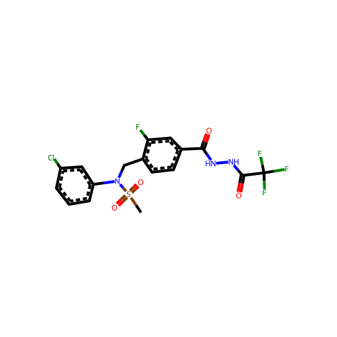 CS(=O)(=O)N(Cc1ccc(C(=O)NNC(=O)C(F)(F)F)cc1F)c1cccc(Cl)c1